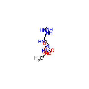 CCCCS(=O)(=O)NC(CN(C=O)CC1CC(CCCNC2NCCN2)NO1)C(=O)O